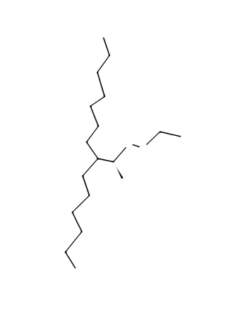 CCCCCCCC(CCCCCC)[C@H](C)SSCC